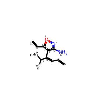 C=C/C=C(\c1c(N)noc1C=C)C(CC)CCCC